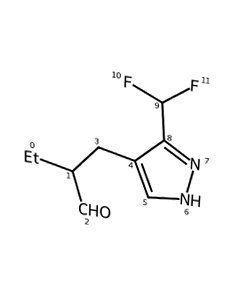 CCC(C=O)Cc1c[nH]nc1C(F)F